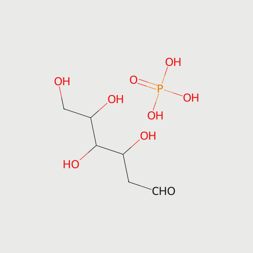 O=CCC(O)C(O)C(O)CO.O=P(O)(O)O